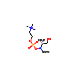 CCCCCN(OP(=O)([O-])OCC[N+](C)(C)C)[C@@H](CO)C(=O)O